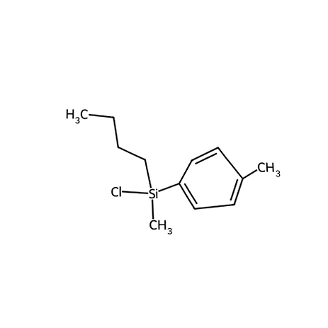 CCCC[Si](C)(Cl)c1ccc(C)cc1